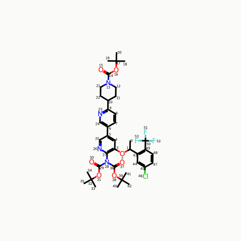 CC(Oc1cc(-c2ccc(C3CCN(C(=O)OC(C)(C)C)CC3)nc2)cnc1N(C(=O)OC(C)(C)C)C(=O)OC(C)(C)C)c1cc(Cl)ccc1C(F)(F)F